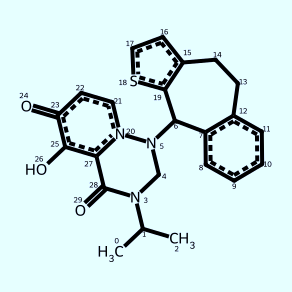 CC(C)N1CN(C2c3ccccc3CCc3ccsc32)n2ccc(=O)c(O)c2C1=O